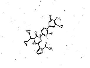 Cc1c(C2CC2)cc(-c2ccc(NC(=O)[C@@H](NC(=O)c3ccnn3C(C)C)C(C3CC3)C3CC3)nc2F)c[n+]1[O-]